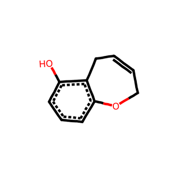 Oc1cccc2c1CC=CCO2